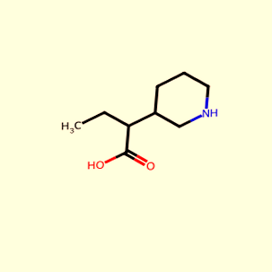 CCC(C(=O)O)C1CCCNC1